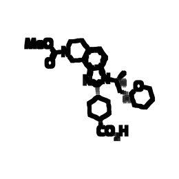 COC(=O)N1CCc2ccc3c(nc([C@H]4CC[C@H](C(=O)O)CC4)n3[C@@H](C)C[C@H]3CCCCO3)c2C1